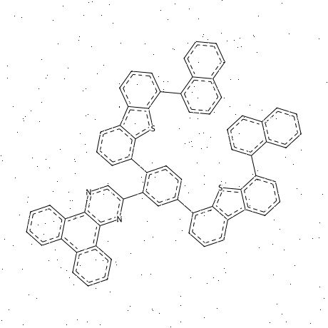 c1ccc2c(-c3cccc4c3sc3c(-c5ccc(-c6cccc7c6sc6c(-c8cccc9ccccc89)cccc67)c(-c6cnc7c8ccccc8c8ccccc8c7n6)c5)cccc34)cccc2c1